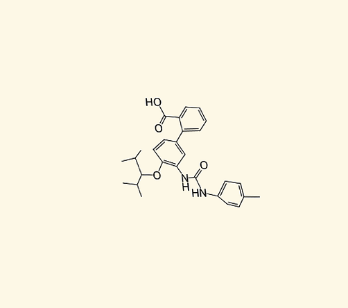 Cc1ccc(NC(=O)Nc2cc(-c3ccccc3C(=O)O)ccc2OC(C(C)C)C(C)C)cc1